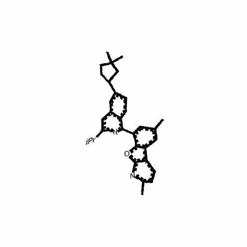 Cc1cc(-c2nc(C(C)C)cc3cc(C4CCC(C)(C)C4)ccc23)c2oc3nc(C)ccc3c2c1